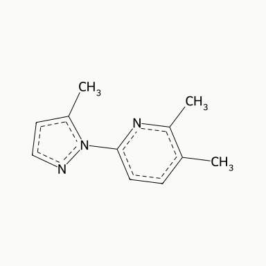 Cc1ccc(-n2nccc2C)nc1C